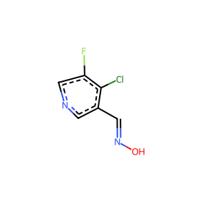 ON=Cc1cncc(F)c1Cl